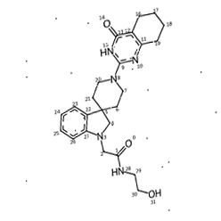 O=C(CN1CC2(CCN(c3nc4c(c(=O)[nH]3)CCCC4)CC2)c2ccccc21)NCCO